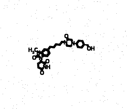 Cn1c(=O)n(C2CCC(=O)NC2=O)c2ccc(CCCCCN3CCN([C@H]4CC[C@H](CO)CC4)CC3=O)cc21